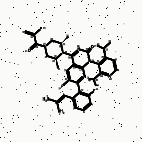 BC(B)=Cc1cccc(F)c1-c1nc2c(cc1F)c(N1[C@@H](C)CN(C(=O)C(=C)F)C[C@@H]1C)nc(=O)n2-c1c(C(C)C)ccnc1C(C)C